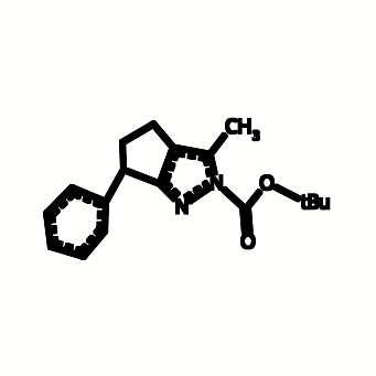 Cc1c2c(nn1C(=O)OC(C)(C)C)C(c1ccccc1)CC2